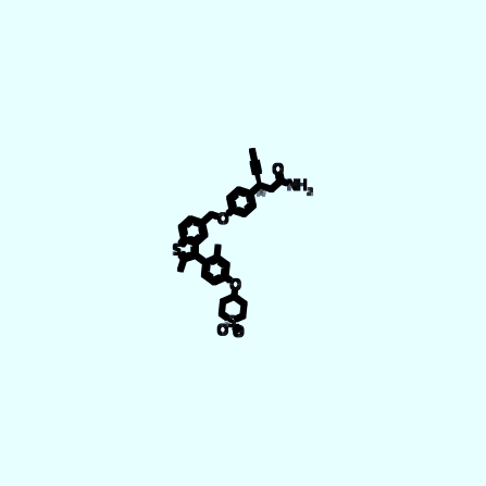 CC#C[C@@H](CC(N)=O)c1ccc(OCc2ccc3sc(C)c(-c4ccc(OC5CCS(=O)(=O)CC5)cc4C)c3c2)cc1